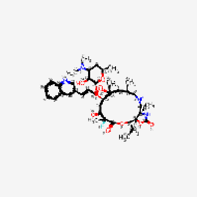 CC[C@H]1OC(=O)C(C)(F)C(=O)C[C@@H](O[C@@H]2O[C@H](C)CC(N(C)C)C2O)[C@](C)(OC/C=C/c2cnc3ccccc3c2)C[C@@H](C)CN[C@H](C)[C@H]2NC(=O)O[C@@]21C